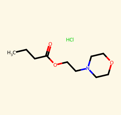 CCCC(=O)OCCN1CCOCC1.Cl